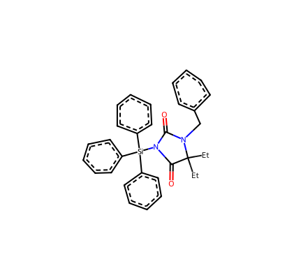 CCC1(CC)C(=O)N([Si](c2ccccc2)(c2ccccc2)c2ccccc2)C(=O)N1Cc1ccccc1